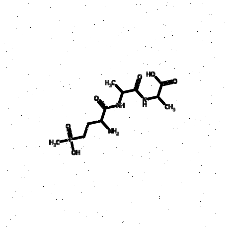 CC(NC(=O)C(C)NC(=O)C(N)CCP(C)(=O)O)C(=O)O